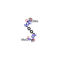 COC(=O)/N=C/C(C(=O)N1CCn2c(-c3ccc(-c4ccc(-c5cnc6n5CCN(C(=O)[C@@H](NC(=O)OC)C(C)C)C6)cc4)cc3)cnc2C1)C(C)C